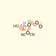 N#Cc1cc(C#N)cc(COc2cc(O[C@H]3CCc4c(-c5ccccc5F)cccc43)c(Cl)cc2CN[C@@H](CO)C(=O)O)c1